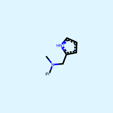 CC(C)N(C)Cc1ccc[nH]1